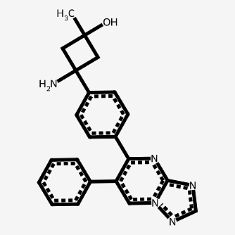 CC1(O)CC(N)(c2ccc(-c3nc4ncnn4cc3-c3ccccc3)cc2)C1